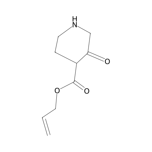 C=CCOC(=O)C1CCNCC1=O